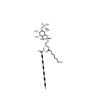 CC#CC#CC#CC#CC#CC#CC(=O)OC[C@H](COP(=O)(O)OC1C(O)[C@H](O)[C@H](O)C(OP(=O)(O)O)[C@@H]1O)OC(=O)CCCCCCCCCCCCCCC